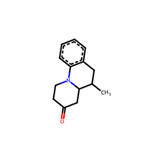 CC1Cc2ccccc2N2CCC(=O)CC12